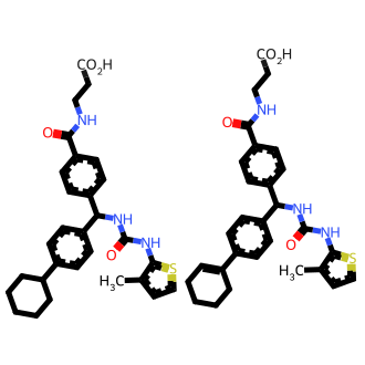 Cc1ccsc1NC(=O)NC(c1ccc(C(=O)NCCC(=O)O)cc1)c1ccc(C2=CCCCC2)cc1.Cc1ccsc1NC(=O)NC(c1ccc(C(=O)NCCC(=O)O)cc1)c1ccc(C2CCCCC2)cc1